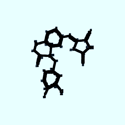 O=C1NC(=O)C(=Cc2ccc3c(c2)N(Cc2ccc(F)c(Cl)c2)C(=O)CO3)S1